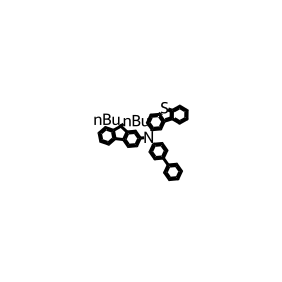 CCCCC1(CCCC)c2ccccc2-c2ccc(N(c3ccc(-c4ccccc4)cc3)c3ccc4sc5ccccc5c4c3)cc21